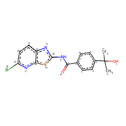 CC(O)(c1ccc(C(=O)Nc2nc3ccc(Br)nc3s2)cc1)C(F)(F)F